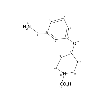 NCc1cccc(OC2CCN(C(=O)O)CC2)c1